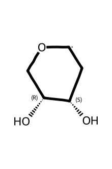 O[C@@H]1CO[CH]C[C@@H]1O